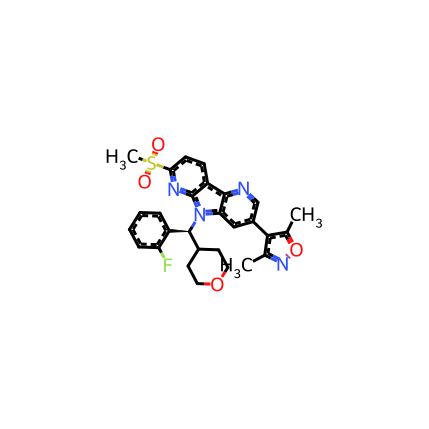 Cc1noc(C)c1-c1cnc2c3ccc(S(C)(=O)=O)nc3n([C@H](c3ccccc3F)C3CCOCC3)c2c1